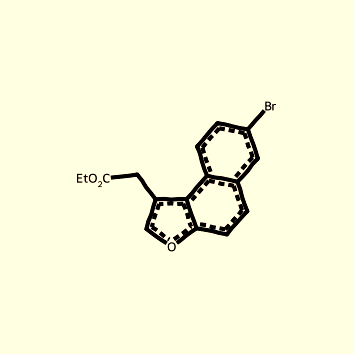 CCOC(=O)Cc1coc2ccc3cc(Br)ccc3c12